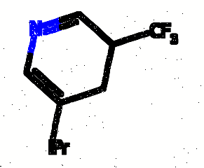 CC(C)C1=CN=CC(C(F)(F)F)C1